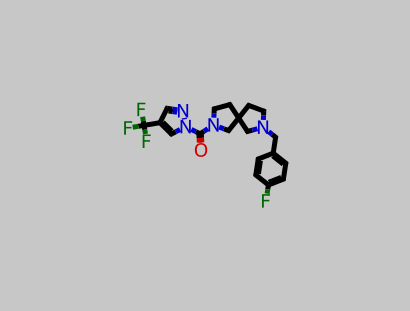 O=C(N1CCC2(CCN(Cc3ccc(F)cc3)C2)C1)n1cc(C(F)(F)F)cn1